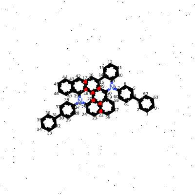 c1ccc(-c2ccc(N(c3ccccc3-c3cccc(-c4ccccc4N(c4ccc(-c5ccccc5)cc4)c4cccc5ccccc45)c3)c3cccc4ccccc34)cc2)cc1